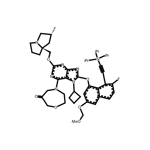 COCOc1cc(Oc2nc3nc(OC[C@@]45CCCN4C[C@H](F)C5)nc(N4CCOCC(=O)C4)c3n2C2CCC2)c2c(C#C[Si](C(C)C)(C(C)C)C(C)C)c(F)ccc2c1